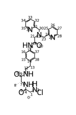 C[C@@H](NCl)C(=O)N[C@H](C)C(=O)NCCc1ccc(NC(=O)CN(Cc2ccccn2)Cc2ccccn2)cc1